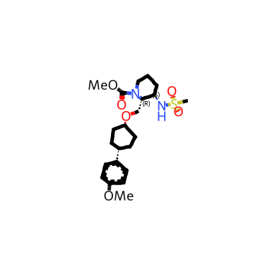 COC(=O)N1CCC[C@H](NS(C)(=O)=O)[C@@H]1CO[C@H]1CC[C@@H](c2ccc(OC)cc2)CC1